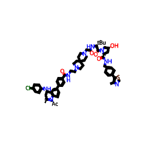 CC(=O)N1c2ccc(-c3ccc(C(=O)NCCN4CCC5(CC4)CCN(CC(=O)N[C@H](C(=O)N4C[C@H](O)C[C@H]4C(=O)NCc4ccc(-c6scnc6C)cc4)C(C)(C)C)CC5)cc3)cc2[C@H](Nc2ccc(Cl)cc2)C[C@@H]1C